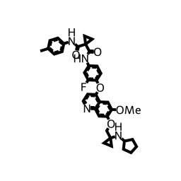 COc1cc2c(Oc3ccc(NC(=O)C4(C(=O)Nc5ccc(C)cc5)CC4)cc3F)ccnc2cc1OCC1(NC2CCCC2)CC1